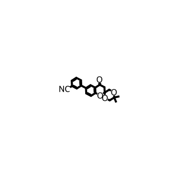 CC1(C)COC2(CO1)CC(=O)c1cc(-c3cccc(C#N)c3)ccc1O2